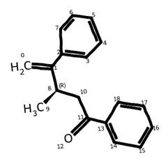 C=C(c1ccccc1)[C@H](C)CC(=O)c1ccccc1